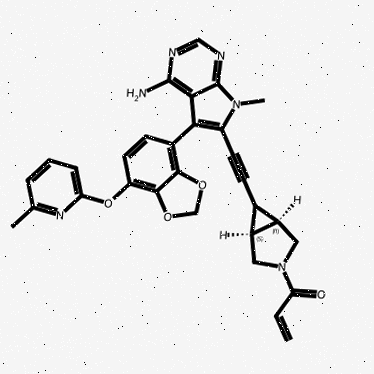 C=CC(=O)N1C[C@@H]2C(C#Cc3c(-c4ccc(Oc5cccc(C)n5)c5c4OCO5)c4c(N)ncnc4n3C)[C@@H]2C1